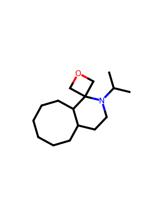 CC(C)N1CCC2CCCCCCC2C12COC2